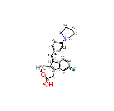 CC1=C(CC(=O)O)c2cc(F)ccc2/C1=C\c1ccc(N2CCCCC2)cc1